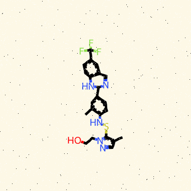 Cc1cc(C2N=Cc3cc(C(F)(F)F)ccc3N2)ccc1NSc1c(C)cnn1CCO